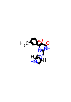 Cc1ccc2oc3c(=O)[nH]c(CN4C[C@@H]5C[C@H]4CN5)nc3c2c1